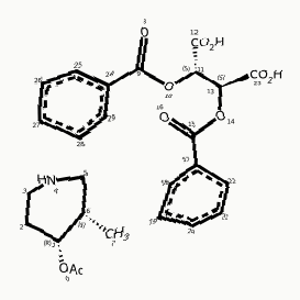 CC(=O)O[C@@H]1CCNC[C@@H]1C.O=C(O[C@H](C(=O)O)[C@H](OC(=O)c1ccccc1)C(=O)O)c1ccccc1